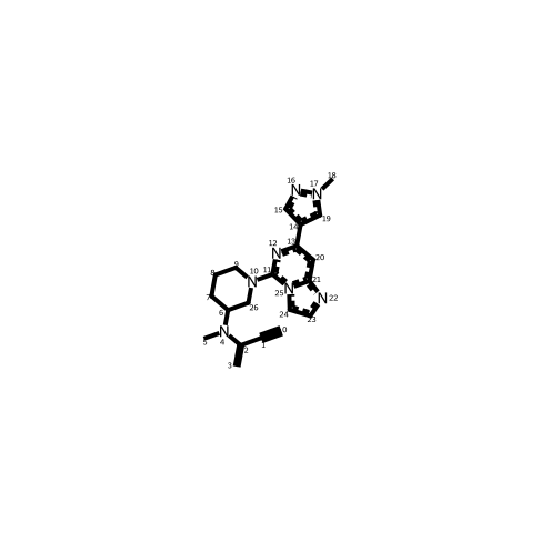 C#CC(=C)N(C)C1CCCN(c2nc(-c3cnn(C)c3)cc3nccn23)C1